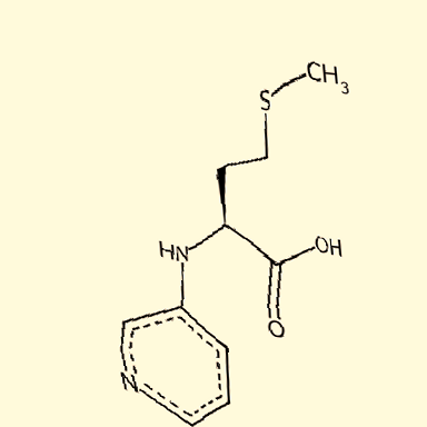 CSCC[C@H](Nc1cccnc1)C(=O)O